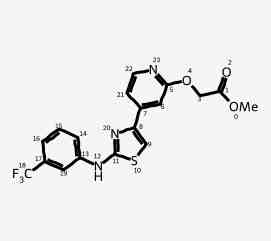 COC(=O)COc1cc(-c2csc(Nc3cccc(C(F)(F)F)c3)n2)ccn1